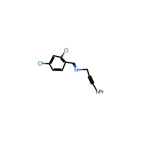 CCCC#CC/N=C/c1ccc(Cl)cc1Cl